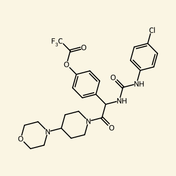 O=C(Nc1ccc(Cl)cc1)NC(C(=O)N1CCC(N2CCOCC2)CC1)c1ccc(OC(=O)C(F)(F)F)cc1